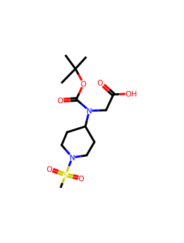 CC(C)(C)OC(=O)N(CC(=O)O)C1CCN(S(C)(=O)=O)CC1